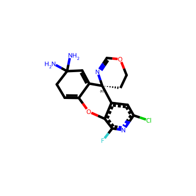 NC1(N)C=C2C(=CC1)Oc1c(cc(Cl)nc1F)[C@@]21CCOC=N1